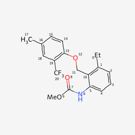 CCc1cccc(NC(=O)OC)c1COc1ccc(C)cc1C(F)(F)F